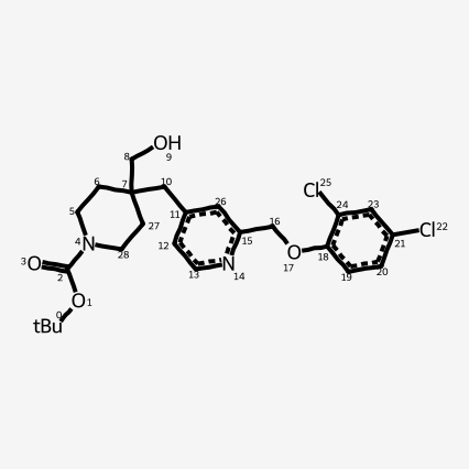 CC(C)(C)OC(=O)N1CCC(CO)(Cc2ccnc(COc3ccc(Cl)cc3Cl)c2)CC1